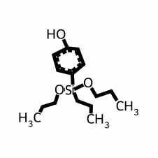 CCCO[Si](CCC)(OCCC)c1ccc(O)cc1